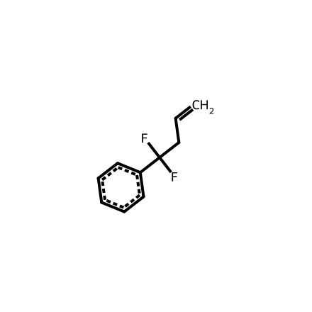 C=CCC(F)(F)c1ccccc1